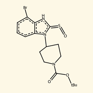 CC(C)(C)OC(=O)N1CCC(n2c(=S=O)[nH]c3c(Br)cccc32)CC1